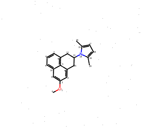 COc1cc2c3c(cccc3c1)CC(n1c(C)ccc1C)C2